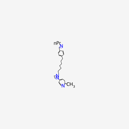 CCC/N=C/c1ccc(CCCCCCCN2CCN2C2=CCC(C)=NC=C2)cc1